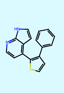 [c]1ccc(-c2ccsc2-c2ccnc3[nH]ccc23)cc1